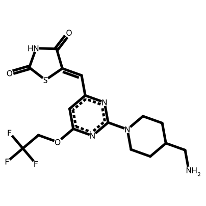 NCC1CCN(c2nc(/C=C3\SC(=O)NC3=O)cc(OCC(F)(F)F)n2)CC1